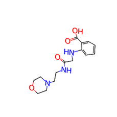 O=C(CNc1ccccc1C(=O)O)NCCN1CCOCC1